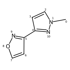 Cn1ccc(-c2ccon2)n1